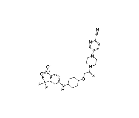 N#Cc1ccc(N2CCN(C(=S)COC3CCC(Nc4ccc([N+](=O)[O-])c(C(F)(F)F)c4)CC3)CC2)cn1